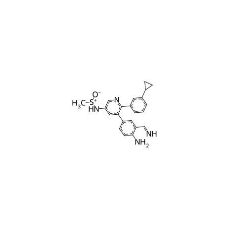 C[S+]([O-])Nc1cnc(-c2cccc(C3CC3)c2)c(-c2ccc(N)c(C=N)c2)c1